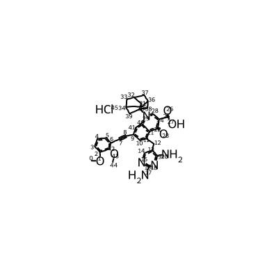 COc1cccc(C#Cc2cc(Cc3cnc(N)nc3N)c3c(=O)c(C(=O)O)cn(C45CC6CC(CC(C6)C4)C5)c3c2)c1OC.Cl